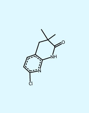 CC1(C)Cc2ccc(Cl)nc2NC1=O